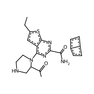 CCc1cc2c(N3CCNCC3C(C)=O)nc(C(N)=O)nc2s1.c1cc2ccc1-2